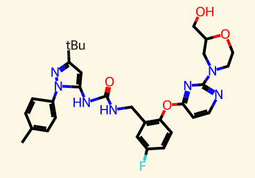 Cc1ccc(-n2nc(C(C)(C)C)cc2NC(=O)NCc2cc(F)ccc2Oc2ccnc(N3CCOC(CO)C3)n2)cc1